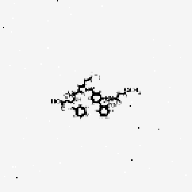 CCCc1cc(C(=O)N[C@H](Cc2ccccc2)[C@@H](O)C(=O)O)nn1Cc1ccc(-c2ccccc2S(=O)(=O)NC(=O)CCOC)cc1